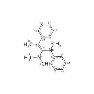 C/C(=C(\N(C)C)N(C)c1ccccc1)c1ccccc1